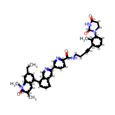 CCc1cc(-c2cccc3cc(-c4ccc(C(=O)NCCC#Cc5cccc(N6CCC(=O)NC6=O)c5C)nc4)ncc23)c2cc(C)c(=O)n(C)c2c1